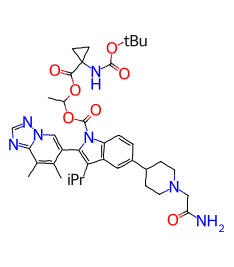 Cc1c(-c2c(C(C)C)c3cc(C4CCN(CC(N)=O)CC4)ccc3n2C(=O)OC(C)OC(=O)C2(NC(=O)OC(C)(C)C)CC2)cn2ncnc2c1C